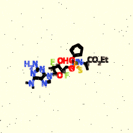 CCOC(=O)[C@@H](C)NP(=S)(OC[C@@]1(F)O[C@@H](n2cnc3c(N(C)C)nc(N)nc32)[C@](C)(F)[C@@H]1O)Oc1ccccc1